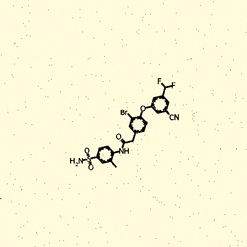 Cc1cc(S(N)(=O)=O)ccc1NC(=O)Cc1ccc(Oc2cc(C#N)cc(C(F)F)c2)c(Br)c1